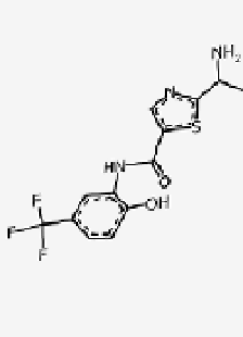 CC(N)c1ncc(C(=O)Nc2cc(C(F)(F)F)ccc2O)s1